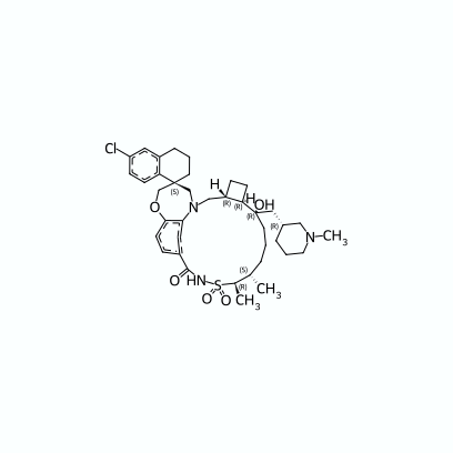 C[C@@H]1[C@@H](C)CCC[C@@](O)(C[C@H]2CCCN(C)C2)[C@@H]2CC[C@H]2CN2C[C@@]3(CCCc4cc(Cl)ccc43)COc3ccc(cc32)C(=O)NS1(=O)=O